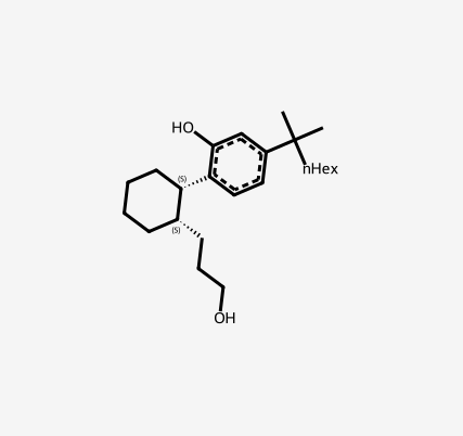 CCCCCCC(C)(C)c1ccc([C@H]2CCCC[C@H]2CCCO)c(O)c1